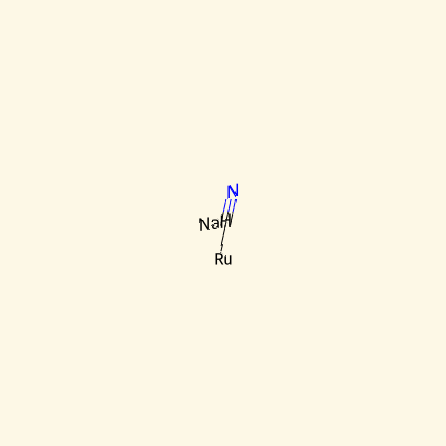 N#[C][Ru].[NaH]